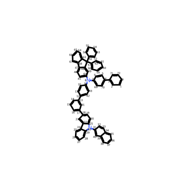 c1ccc(-c2ccc(N(c3ccc(-c4cccc(-c5ccc6c(c5)c5ccccc5n6-c5ccc6ccccc6c5)c4)cc3)c3ccc4c(c3)C(c3ccccc3)(c3ccccc3)c3ccccc3-4)cc2)cc1